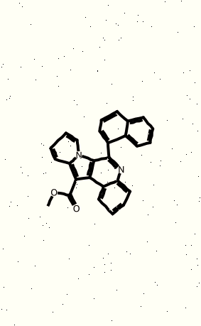 COC(=O)c1c2c3ccccc3nc(-c3cccc4ccccc34)c2n2ccccc12